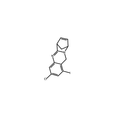 Clc1cc(I)c2c(c1)N=C1C3C=CC(C3)N1C2